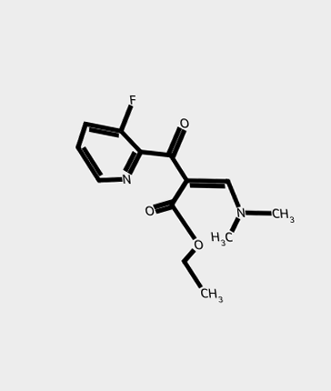 CCOC(=O)C(=CN(C)C)C(=O)c1ncccc1F